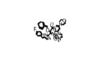 CN1CCN(c2cc(N3CCOCC3)cn3c(=O)c(OCc4ccccc4)c(-c4ncc(Cc5ccc(F)cc5)[nH]4)nc23)S1(=O)=O